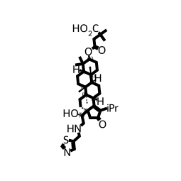 CC(C)C1=C2[C@H]3CC[C@@H]4[C@@]5(C)CC[C@H](OC(=O)CC(C)(C)C(=O)O)C(C)(C)[C@H]5CC[C@@]4(C)[C@]3(C)CC[C@@]2([C@@H](O)CNCc2cncs2)CC1=O